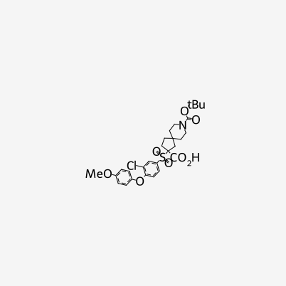 COc1ccc(Oc2ccc(S(=O)(=O)C3(C(=O)O)CCC4(CCN(C(=O)OC(C)(C)C)CC4)C3)cc2Cl)cc1